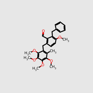 COc1ccc(Cc2c(C)c(OC)c(OC)c(OC)c2OC)c(C=O)c1Cc1ccccc1